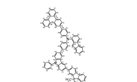 CC1(C)c2ccccc2-c2ccc(-c3ccc4c(c3)c3cc(-c5ccc(N(c6ccc(-c7ccc8c9ccccc9c9ccccc9c8c7)cc6)c6cccc7c6sc6ccccc67)cc5)ccc3n4-c3ccccc3)cc21